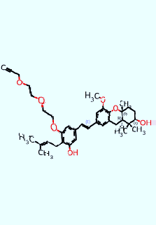 C#CCOCCOCCOc1cc(/C=C/c2cc3c(c(OC)c2)O[C@]2(C)CC[C@@H](O)C(C)(C)[C@H]2C3)cc(O)c1CC=C(C)C